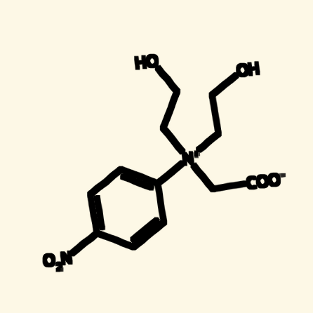 O=C([O-])C[N+](CCO)(CCO)c1ccc([N+](=O)[O-])cc1